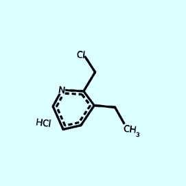 CCc1cccnc1CCl.Cl